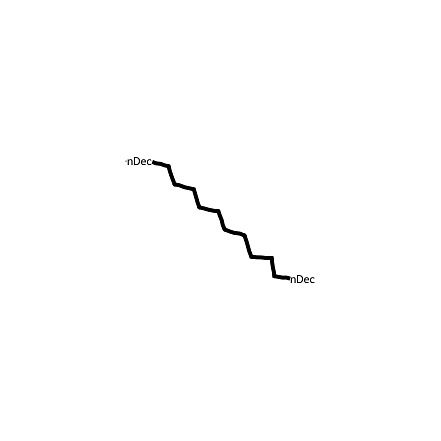 CCCCCCCCC[CH]CCCCCCCCCCCCCCCCCCCC